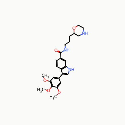 COc1cc(-c2c[nH]c3cc(C(=O)NCCCC4CNCCO4)ccc23)cc(OC)c1OC